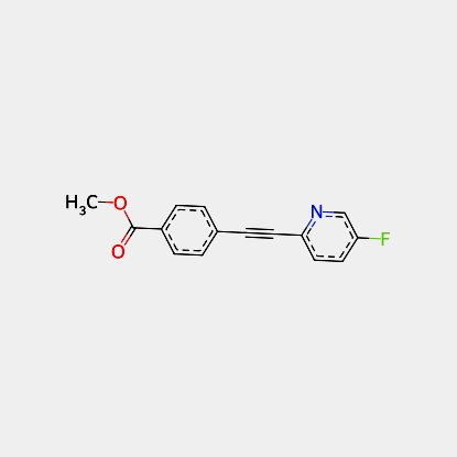 COC(=O)c1ccc(C#Cc2ccc(F)cn2)cc1